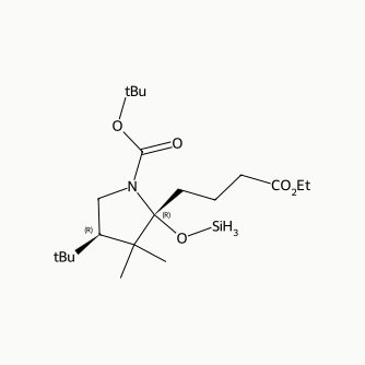 CCOC(=O)CCC[C@]1(O[SiH3])N(C(=O)OC(C)(C)C)C[C@H](C(C)(C)C)C1(C)C